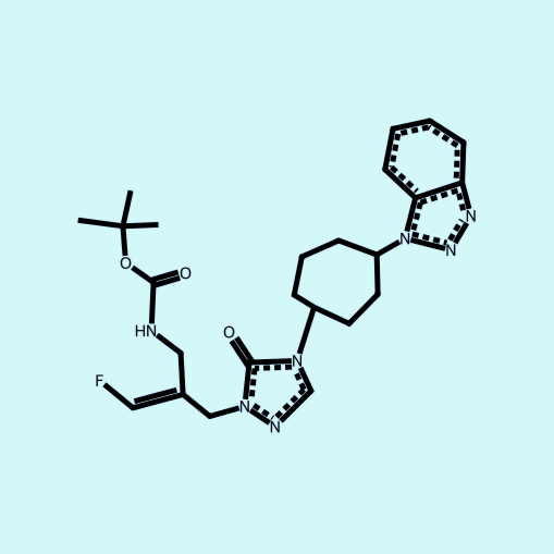 CC(C)(C)OC(=O)NC/C(=C\F)Cn1ncn(C2CCCC(n3nnc4ccccc43)CC2)c1=O